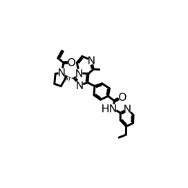 C=CC(=O)N1CCC[C@H]1c1nc(-c2ccc(C(=O)Nc3cc(CC)ccn3)cc2)c2c(C)nccn12